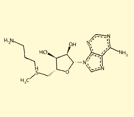 C[SH](CCCN)C[C@H]1O[C@@H](n2cnc3c(N)ncnc32)[C@H](O)[C@@H]1O